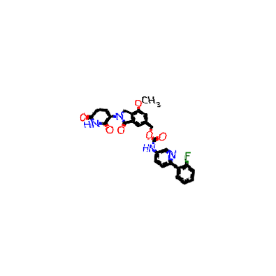 COc1cc(COC(=O)Nc2ccc(-c3ccccc3F)nc2)cc2c1CN(C1CCC(=O)NC1=O)C2=O